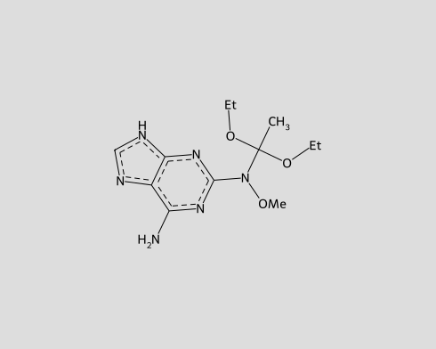 CCOC(C)(OCC)N(OC)c1nc(N)c2nc[nH]c2n1